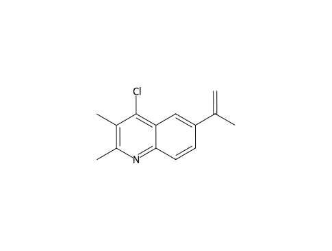 C=C(C)c1ccc2nc(C)c(C)c(Cl)c2c1